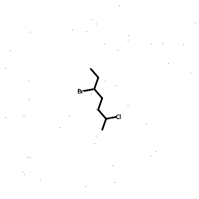 CCC(Br)C[CH]C(C)Cl